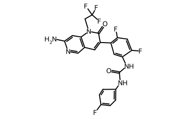 Nc1cc2c(cn1)cc(-c1cc(NC(=O)Nc3ccc(F)cc3)c(F)cc1F)c(=O)n2CC(F)(F)F